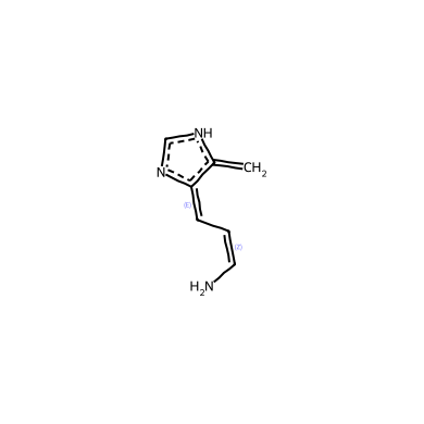 C=c1[nH]cn/c1=C/C=C\N